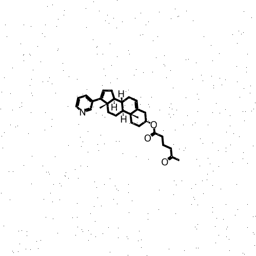 CC(=O)CCCC(=O)O[C@H]1CC[C@@]2(C)C(=CC[C@@H]3[C@@H]2CC[C@]2(C)C(c4cccnc4)=CC[C@@H]32)C1